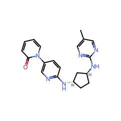 Cc1cnc(N[C@H]2CC[C@H](Nc3ccc(-n4ccccc4=O)cn3)C2)nc1